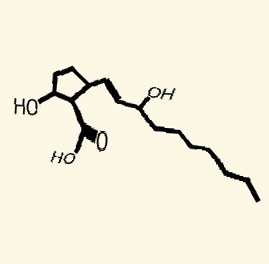 CCCCCCCC(O)C=CC1CCC(O)C1C(=O)O